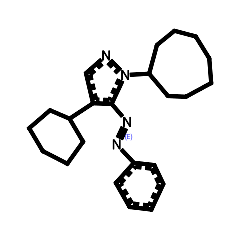 c1ccc(/N=N/c2c(C3CCCCC3)cnn2C2CCCCCCC2)cc1